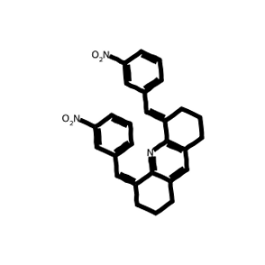 O=[N+]([O-])c1cccc(/C=C2/CCCc3cc4c(nc32)/C(=C/c2cccc([N+](=O)[O-])c2)CCC4)c1